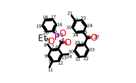 CCOP(=O)(C(=O)c1c(C)cc(C)cc1C)c1ccccc1.Cc1ccc(C(=O)c2ccccc2)cc1